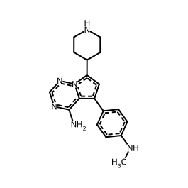 CNc1ccc(-c2cc(C3CCNCC3)n3ncnc(N)c23)cc1